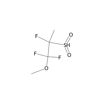 COC(F)(F)C(C)(F)[SH](=O)=O